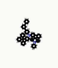 c1ccc(-c2cccc(-c3ccc(N(c4ccc5c(c4)C(c4ccccc4)(c4ccccc4)c4ccccc4-5)c4ccc5c(c4)C4(c6ccccc6-5)c5ccccc5N(c5ccccc5)c5ccccc54)cc3)c2)cc1